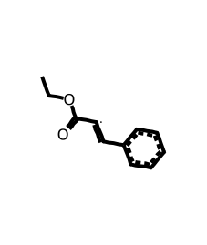 CCOC(=O)/[C]=C/c1ccccc1